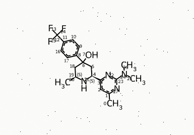 Cc1cc([C@@H]2CC(O)(c3ccc(C(F)(F)F)cc3)C[C@H](C)N2)nc(N(C)C)n1